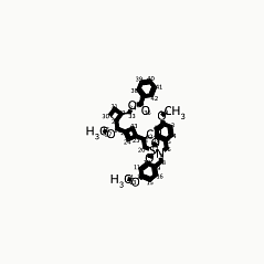 COc1ccc(CN(Cc2ccc(OC)cc2)S(=O)(=O)C[C@@H](C)C2C=C([C@H](OC)[C@@H]3CC[C@H]3COC(=O)c3ccccc3)C2)cc1